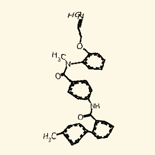 Cc1ccc(-c2ccccc2C(=O)Nc2ccc(C(=O)N(C)c3ccccc3OCC=NO)cc2)cc1